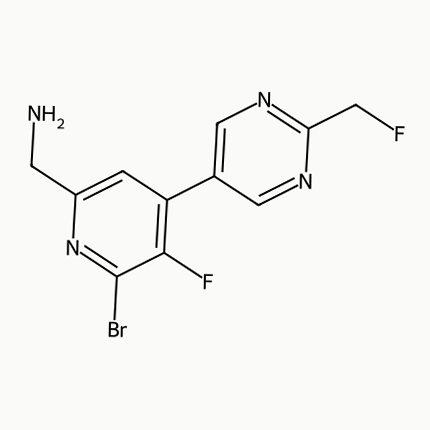 NCc1cc(-c2cnc(CF)nc2)c(F)c(Br)n1